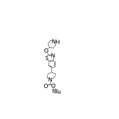 CC(C)(C)OC(=O)N1CCC(c2ccc3nc(OC4CCNCC4)sc3c2)CC1